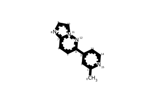 Cc1cc(-c2ccc3nccn3n2)ccn1